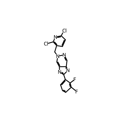 Fc1cccc(-c2nc3cnn(Cc4ccc(Cl)nc4Cl)cc-3n2)c1F